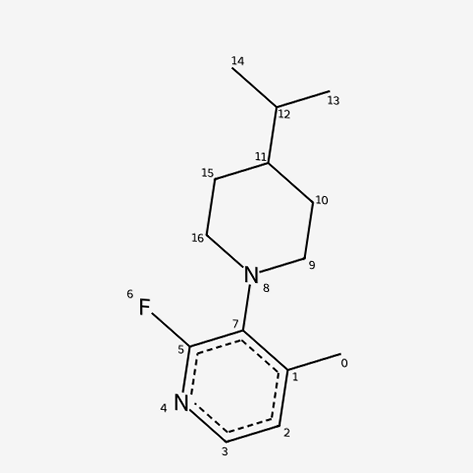 Cc1ccnc(F)c1N1CCC(C(C)C)CC1